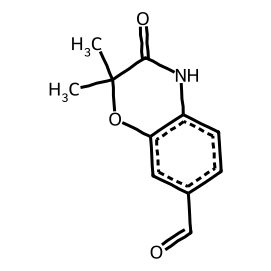 CC1(C)Oc2cc(C=O)ccc2NC1=O